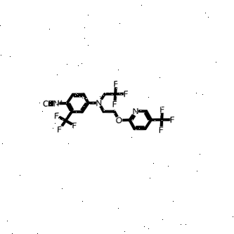 [C-]#[N+]c1ccc(N(CCOc2ccc(C(F)(F)F)cn2)CC(F)(F)F)cc1C(F)(F)F